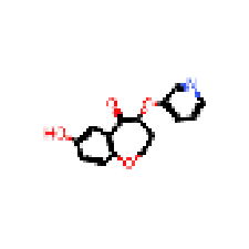 O=C1c2cc(O)ccc2OCCC1Oc1cccnc1